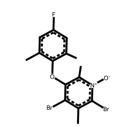 Cc1cc(F)cc(C)c1Oc1c(Br)c(C)c(Br)[n+]([O-])c1C